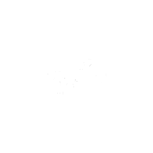 CC(C)OCC1CC2(CCN(C(=O)c3ccc(OC(C)C)c(CO)c3)CC2)Oc2ccccc21